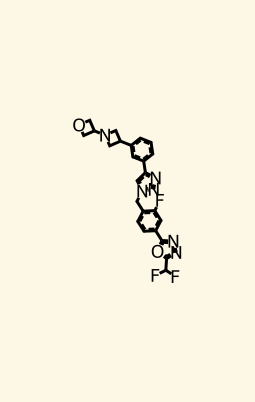 Fc1cc(-c2nnc(C(F)F)o2)ccc1Cn1cc(-c2cccc(C3CN(C4COC4)C3)c2)nn1